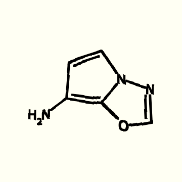 Nc1ccn2ncoc12